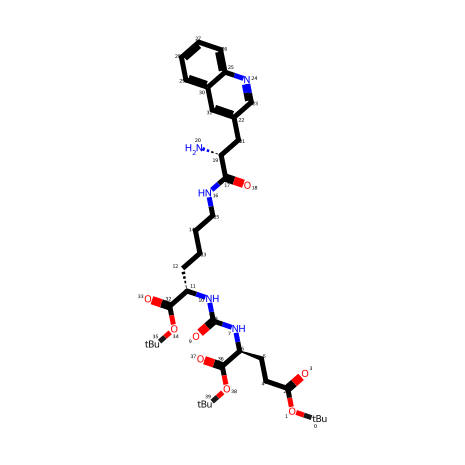 CC(C)(C)OC(=O)CC[C@H](NC(=O)N[C@@H](CCCCNC(=O)[C@H](N)Cc1cnc2ccccc2c1)C(=O)OC(C)(C)C)C(=O)OC(C)(C)C